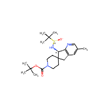 Cc1cnc2c(c1)CC1(CCN(C(=O)OC(C)(C)C)CC1)[C@H]2N[S@+]([O-])C(C)(C)C